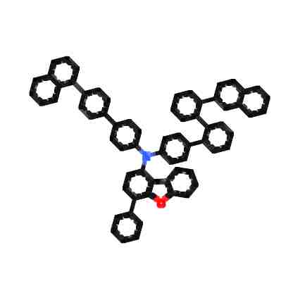 c1ccc(-c2ccc(N(c3ccc(-c4ccc(-c5cccc6ccccc56)cc4)cc3)c3ccc(-c4ccccc4-c4ccccc4-c4ccc5ccccc5c4)cc3)c3c2oc2ccccc23)cc1